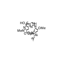 CNc1nc(C(C)C)c(-c2nc(Nc3cc([N+](=O)[O-])c(N(C)CCN(C)C)cc3OC)ncc2C(=O)O)cc1C(=O)OC